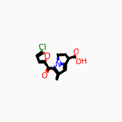 Cc1cc2n(c1C(=O)c1ccc(Cl)o1)CCC2C(=O)O